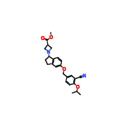 COC(=O)C1CN(C2CCc3cc(OCc4ccc(OC(C)C)c(C#N)c4)ccc32)C1